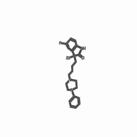 CCC1(CCCCN2CCN(c3ccccc3)CC2)C(=O)Nc2ccc(F)cc21